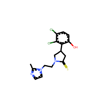 Cc1nccn1CCN1CC(c2c(O)ccc(Cl)c2Cl)CC1=S